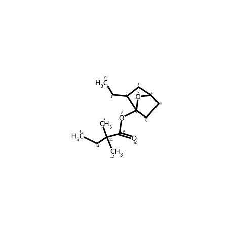 CCC1CC2CCC1(OC(=O)C(C)(C)CC)O2